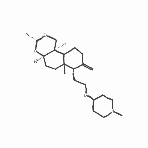 C=C1CCC2[C@]3(C)CO[C@@H](C)O[C@@H]3CC[C@@]2(C)[C@@H]1CCOC1CCN(C)CC1